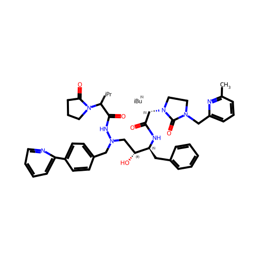 CC[C@H](C)[C@@H](C(=O)N[C@@H](Cc1ccccc1)[C@H](O)CN(Cc1ccc(-c2ccccn2)cc1)NC(=O)C(C(C)C)N1CCCC1=O)N1CCN(Cc2cccc(C)n2)C1=O